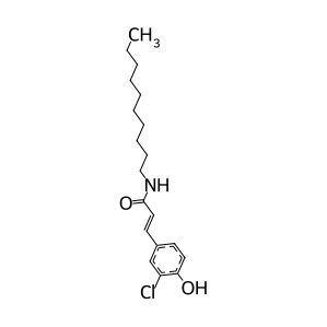 CCCCCCCCCCNC(=O)C=Cc1ccc(O)c(Cl)c1